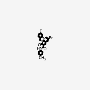 Cc1ccc(NC(=O)c2cc3cc(Br)cnc3n(Cc3ccc(F)cc3)c2=O)cc1